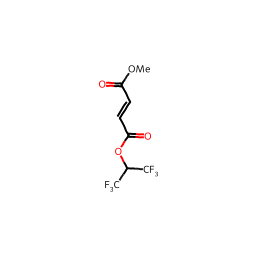 COC(=O)/C=C/C(=O)OC(C(F)(F)F)C(F)(F)F